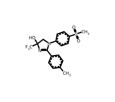 Cc1ccc(C2=NC(O)(C(F)(F)F)CN2c2ccc(S(C)(=O)=O)cc2)cc1